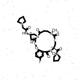 CN1CCC(=O)N2C[C@H](NC(=O)CN3CCCC3)C[C@H]2COc2ccc(F)cc2C(=O)N(C)[C@H](C(=O)N2CCCC2)CCC1=O